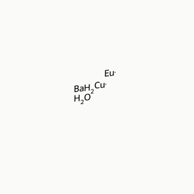 O.[BaH2].[Cu].[Eu]